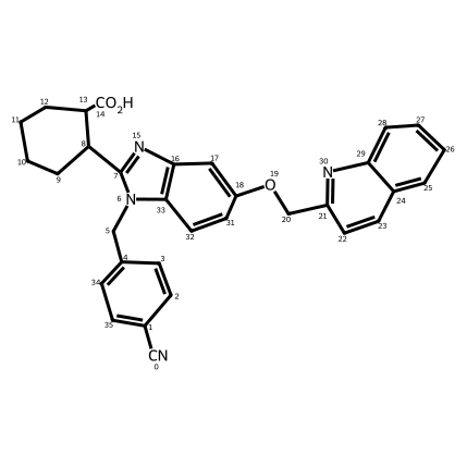 N#Cc1ccc(Cn2c(C3CCCCC3C(=O)O)nc3cc(OCc4ccc5ccccc5n4)ccc32)cc1